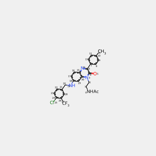 CC(=O)NCCn1c(=O)c(-c2ccc(C)cc2)nc2ccc(NCc3ccc(Cl)c(C(F)(F)F)c3)cc21